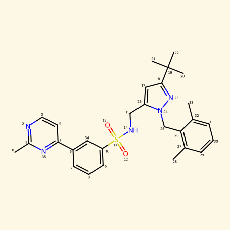 Cc1nccc(-c2cccc(S(=O)(=O)NCc3cc(C(C)(C)C)nn3Cc3c(C)cccc3C)c2)n1